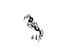 NC(=O)c1ccc(C(=O)Nc2ccc(O)cc2F)nc1